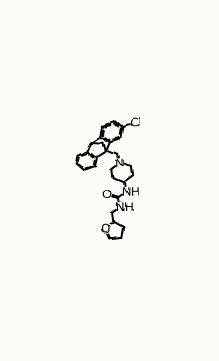 O=C(NCC1CCCO1)NC1CCN(CC23CC(c4ccccc42)c2ccc(Cl)cc23)CC1